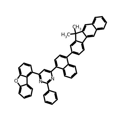 CC1(C)c2cc(-c3ccc(-c4cc(-c5cccc6oc7ccccc7c56)nc(-c5ccccc5)n4)c4ccccc34)ccc2-c2cc3ccccc3cc21